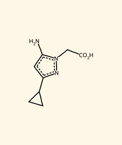 Nc1cc(C2CC2)nn1CC(=O)O